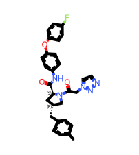 Cc1ccc(C[C@@H]2C[C@@H](C(=O)Nc3ccc(Oc4ccc(F)cc4)cc3)N(C(=O)Cn3ccnn3)C2)cc1